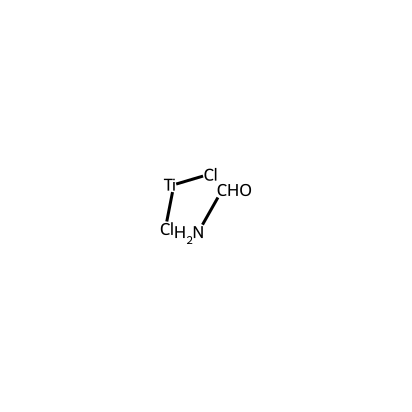 NC=O.[Cl][Ti][Cl]